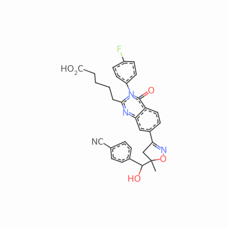 CC1(C(O)c2ccc(C#N)cc2)CC(c2ccc3c(=O)n(-c4ccc(F)cc4)c(CCCCC(=O)O)nc3c2)=NO1